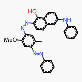 COc1cc(/N=N/c2ccccc2)c(C)cc1/N=N\c1ccc2cc(Nc3ccccc3)ccc2c1O